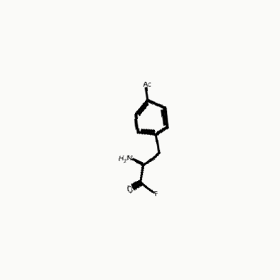 CC(=O)c1ccc(CC(N)C(=O)F)cc1